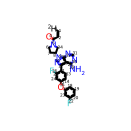 [2H]/C=C\C(=O)N1CC[C@@H](n2nc(-c3ccc(Oc4cccc(F)c4)cc3F)c3c(N)ncnc32)C1